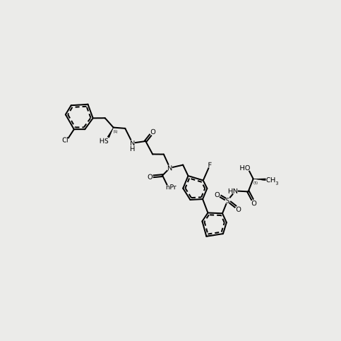 CCCC(=O)N(CCC(=O)NC[C@@H](S)Cc1cccc(Cl)c1)Cc1ccc(-c2ccccc2S(=O)(=O)NC(=O)[C@H](C)O)cc1F